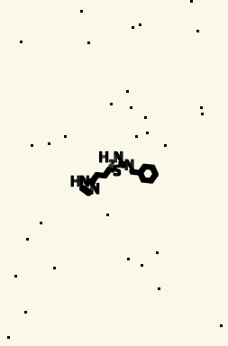 NC(=NCC1CCCCC1)SCCCc1ncc[nH]1